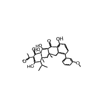 COc1cccc(-c2ccc(O)c3c2C[C@]2(C)C[C@]4(C)C(C(C)C)C(O)=C(C(C)=O)C(=O)[C@]4(O)C(O)=C2C3=O)c1